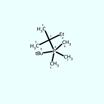 CCC(C)(C)P(C)(C)(C)C(C)(C)C